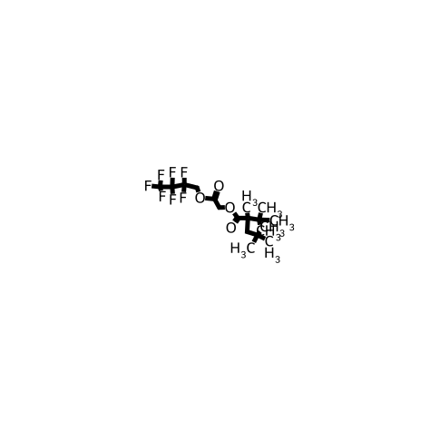 CC(C)(C)CC(C)(C(=O)OCC(=O)OCC(F)(F)C(F)(F)C(F)(F)F)C(C)(C)C